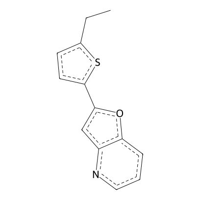 CCc1ccc(-c2cc3ncccc3o2)s1